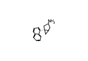 N[C@H]1CC2C[C@@]2(c2cccc3ccccc23)C1